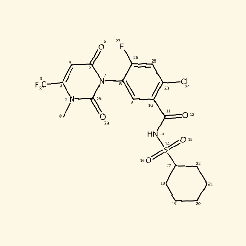 Cn1c(C(F)(F)F)cc(=O)n(-c2cc(C(=O)NS(=O)(=O)C3CCCCC3)c(Cl)cc2F)c1=O